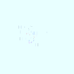 CCCCCCOc1cc(C)[n+]([O-])c(C)c1C(=O)Nc1cccc(C)c1C